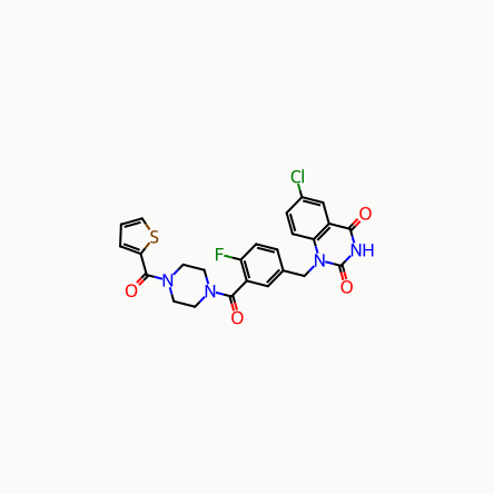 O=C(c1cccs1)N1CCN(C(=O)c2cc(Cn3c(=O)[nH]c(=O)c4cc(Cl)ccc43)ccc2F)CC1